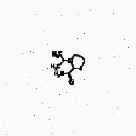 CC(C)N1CCC[CH]C1C(N)=O